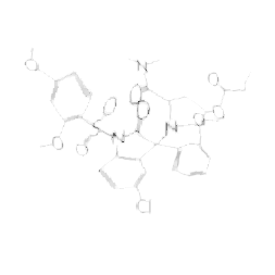 CCC(=O)OC1CC(C(=O)N(C)C)N([C@]2(c3ccccc3OC)C(=O)N(S(=O)(=O)c3ccc(OC)cc3OC)c3ccc(Cl)cc32)C1